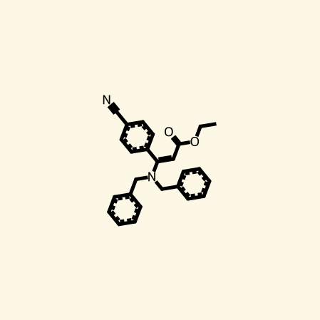 CCOC(=O)/C=C(\c1ccc(C#N)cc1)N(Cc1ccccc1)Cc1ccccc1